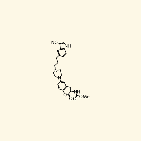 COC(=O)Nc1cc2cc(N3CCN(CCCc4ccc5[nH]cc(C#N)c5c4)CC3)ccc2oc1=O